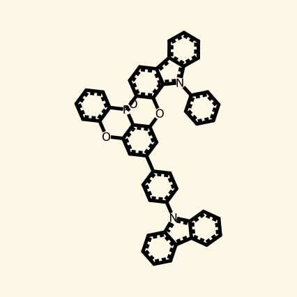 O=P12c3ccccc3Oc3cc(-c4ccc(-n5c6ccccc6c6ccccc65)cc4)cc(c31)Oc1c2ccc2c3ccccc3n(-c3ccccc3)c12